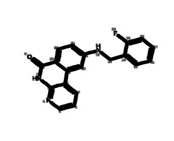 O=c1[nH]c2ncccc2c2cc(NCc3ccccc3F)ccc12